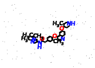 Cc1cc(CC(=O)Nc2cnn(C(C)(C)C)c2)ccc1Oc1ccnc2ccc(OC3CCNCC3C)cc12